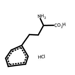 Cl.NC(CCc1ccccc1)C(=O)O